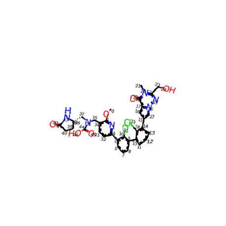 COc1nc(-c2cccc(-c3cccc(-c4cc5c(=O)n(C)c(CO)nn5c4)c3Cl)c2Cl)ccc1CN(C[C@@H]1CCC(=O)N1)C(=O)O